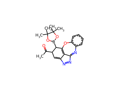 CC(=O)C1C=C2N=NC3=Nc4ccccc4OC(=C23)C1B1OC(C)(C)C(C)(C)O1